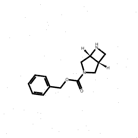 O=C(OCc1ccccc1)N1C[C@H]2CN[C@H]2C1